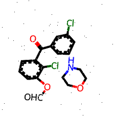 C1COCCN1.O=COc1cccc(C(=O)c2cccc(Cl)c2)c1Cl